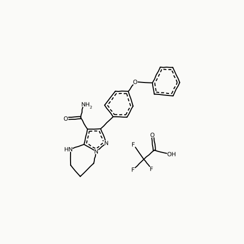 NC(=O)c1c(-c2ccc(Oc3ccccc3)cc2)nn2c1NCCC2.O=C(O)C(F)(F)F